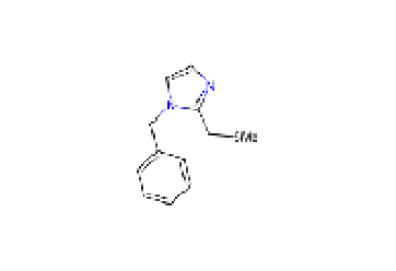 CSCc1nccn1Cc1ccccc1